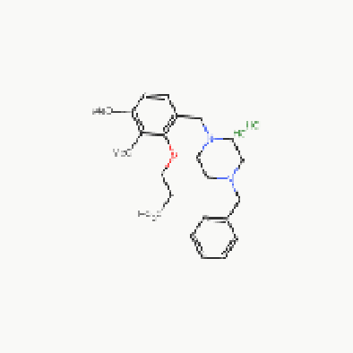 COc1ccc(CN2CCN(Cc3ccccc3)CC2)c(OCCC(=O)O)c1OC.Cl.Cl